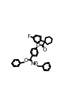 O=C(Oc1ccc(/C(=N\OCc2ccccc2)OCc2ccccc2)cc1)C1(c2ccc(F)cc2)CCCCC1